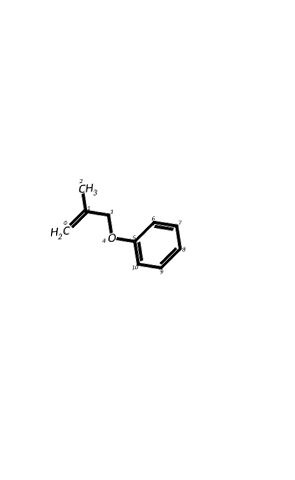 C=C(C)COc1[c]cccc1